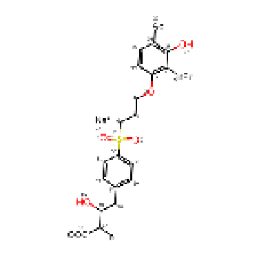 CCCc1c(OCCCS(=O)(=O)c2ccc(CC(O)C(C)C(=O)[O-])cc2)ccc(C(C)=O)c1O.[Na+]